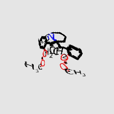 C=C(c1ccccc1OCOC)C1(C(=C)c2ccccc2OCOC)CCCCN1C